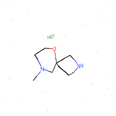 CN1CCOC2(CNC2)C1.Cl